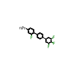 CCCc1ccc(-c2ccc(-c3cc(F)c(F)c(F)c3)cc2)c(F)c1